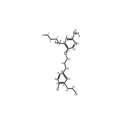 CCCCNc1nc(N)ncc1OCCCc1ccc(C)c(CCC)c1